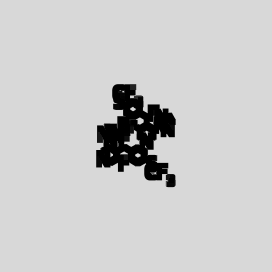 FC(c1ccc(SC(F)(F)F)cc1)c1c(Br)cncc1-n1nccn1.Fc1cncc(-n2nccn2)c1C(F)c1ccc(SC(F)(F)F)cc1